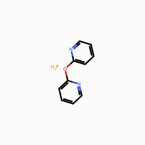 P.c1ccc(Oc2ccccn2)nc1